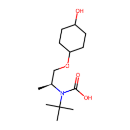 C[C@@H](COC1CCC(O)CC1)N(C(=O)O)C(C)(C)C